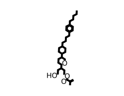 C=C(C)C(=O)OCCC(CCO)C1CCC(C2CCC(CCCCc3ccc(CCCCC)cc3)CC2)CO1